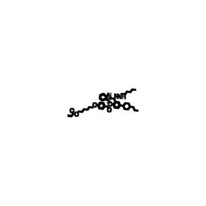 C=CC(=O)OCCCCCCOc1ccc(C(=O)Oc2ccc(C3CCC(CCC)CC3)cc2C(=NNCCCCCC)c2nc3ccccc3s2)cc1